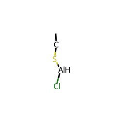 CC[S][AlH][Cl]